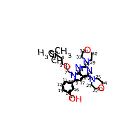 C[Si](C)(C)CCOCn1c(-c2cccc(O)c2)cc2c(N3CCOCC3)nc(N3CCOCC3)nc21